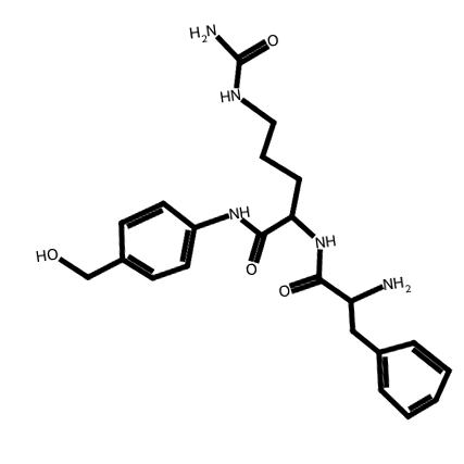 NC(=O)NCCCC(NC(=O)C(N)Cc1ccccc1)C(=O)Nc1ccc(CO)cc1